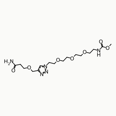 COC(=O)NCCOCCOCCOCCn1cc(COCCC(N)=O)nn1